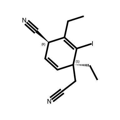 CCC1=C(I)[C@@](CC)(CC#N)C=C[C@H]1C#N